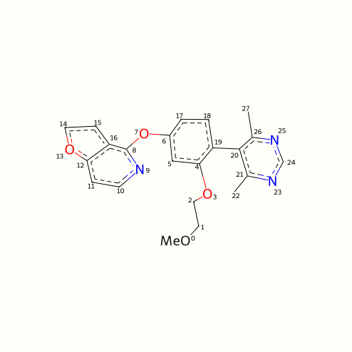 COCCOc1cc(Oc2nccc3occc23)ccc1-c1c(C)ncnc1C